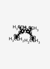 C=C(C)Cc1cc(Cc2ccc(OCCOC(=O)C(=C)C)c(CC(=C)C)c2)ccc1OCCOC(=O)C(=C)C